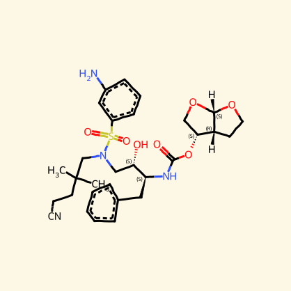 CC(C)(CCC#N)CN(C[C@H](O)[C@H](Cc1ccccc1)NC(=O)O[C@@H]1CO[C@@H]2OCC[C@@H]21)S(=O)(=O)c1cccc(N)c1